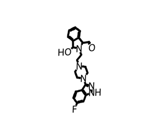 O=CC1c2ccccc2C(O)N1CCN1CCN(c2n[nH]c3cc(F)ccc23)CC1